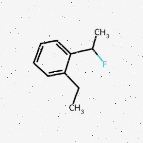 CCc1ccccc1C(C)F